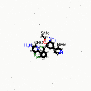 CNc1cnccc1C1CC(N)C(OCCSC)[C@@H](C(F)c2cccc(F)c2-c2nc(C=O)c(N)cc2F)C1